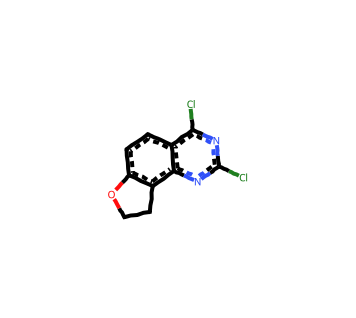 Clc1nc(Cl)c2ccc3c(c2n1)CCO3